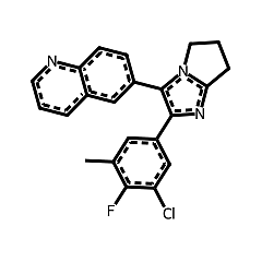 Cc1cc(-c2nc3n(c2-c2ccc4ncccc4c2)CCC3)cc(Cl)c1F